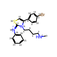 CNCCCCn1c(-c2ccc(Br)cc2)cs/c1=N/c1ccccc1